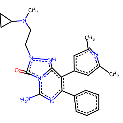 Cc1cc(-c2c(-c3ccccc3)nc(N)[n+]3c(=O)n(CCN(C)C4CC4)[nH]c23)cc(C)n1